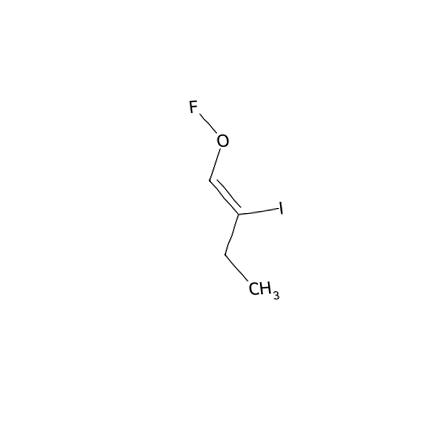 CCC(I)=COF